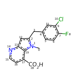 Cn1c(Cc2ccc(F)c(Cl)c2)cc2nccc(C(=O)O)c21